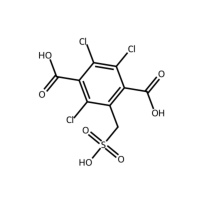 O=C(O)c1c(Cl)c(Cl)c(C(=O)O)c(CS(=O)(=O)O)c1Cl